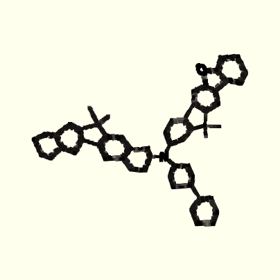 CC1(C)c2cc3ccccc3cc2-c2cc3ccc(N(c4ccc(-c5ccccc5)cc4)c4ccc5c(c4)C(C)(C)c4cc6c(cc4-5)oc4ccccc46)cc3cc21